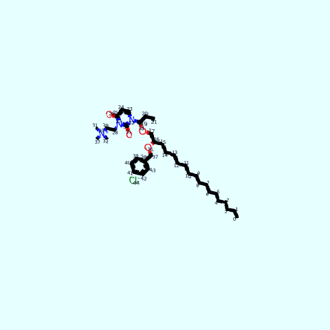 CCCCCCCCCCCCCCCCC(COC(CC)n1ccc(=O)n(CC[N+](C)(C)C)c1=O)OCc1ccccc1.[Cl-]